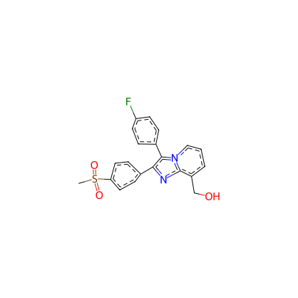 CS(=O)(=O)c1ccc(-c2nc3c(CO)cccn3c2-c2ccc(F)cc2)cc1